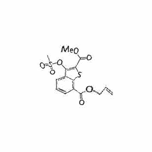 C=CCOC(=O)c1cccc2c(OS(C)(=O)=O)c(C(=O)OC)sc12